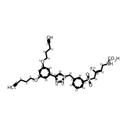 C#CCCCOc1cc(OCCCC#C)cc(-c2cn(Cc3cccc(S(=O)(=O)CC(F)=CCNC(=O)O)c3)nn2)c1